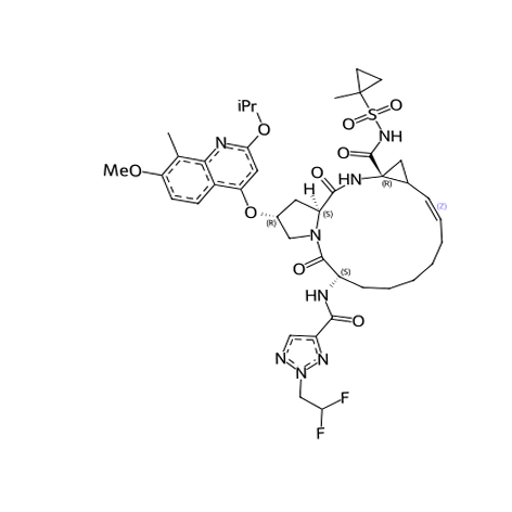 COc1ccc2c(O[C@@H]3C[C@H]4C(=O)N[C@]5(C(=O)NS(=O)(=O)C6(C)CC6)CC5/C=C\CCCCC[C@H](NC(=O)c5cnn(CC(F)F)n5)C(=O)N4C3)cc(OC(C)C)nc2c1C